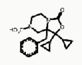 O=C(O)N1CCN2C(=O)OC(C3CC3)(C3CC3)C2(Cc2ccccc2)C1